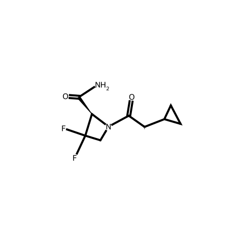 NC(=O)[C@H]1N(C(=O)[CH]C2CC2)CC1(F)F